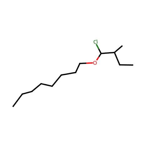 CCCCCCCCOC(Cl)C(C)CC